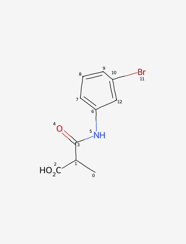 CC(C(=O)O)C(=O)Nc1cccc(Br)c1